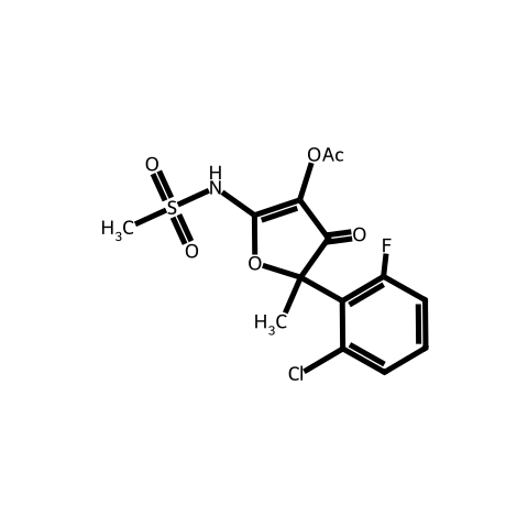 CC(=O)OC1=C(NS(C)(=O)=O)OC(C)(c2c(F)cccc2Cl)C1=O